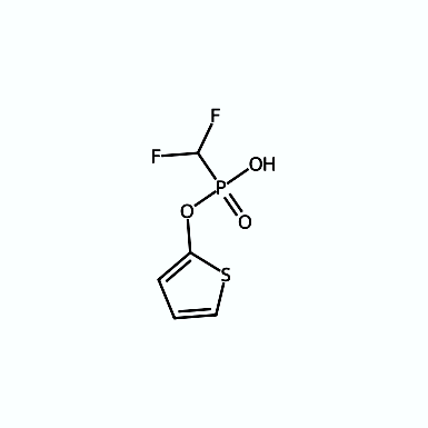 O=P(O)(Oc1cccs1)C(F)F